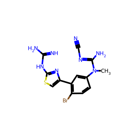 CN(C(N)=NC#N)c1ccc(Br)c(-c2csc(NC(=N)N)n2)c1